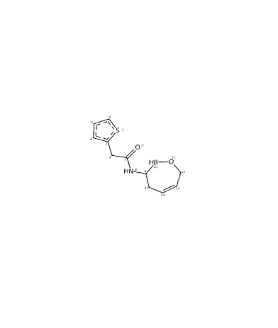 O=C(Cc1cccs1)NC1BOCC=CC1